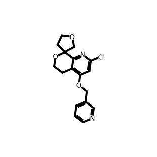 Clc1cc(OCc2cccnc2)c2c(n1)C1(CCOC1)OCC2